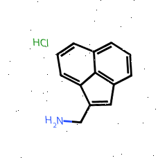 Cl.NCC1=Cc2cccc3cccc1c23